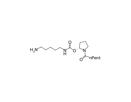 CCCCCC(=O)N1CCC[C@H]1OC(=O)NCCCCCN